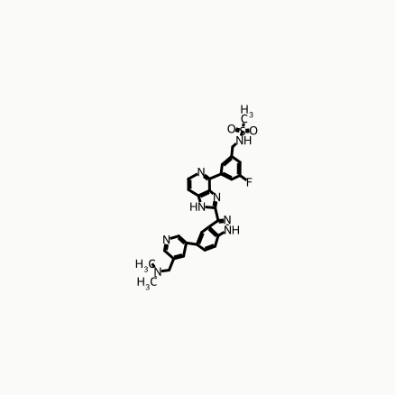 CN(C)Cc1cncc(-c2ccc3[nH]nc(-c4nc5c(-c6cc(F)cc(CNS(C)(=O)=O)c6)nccc5[nH]4)c3c2)c1